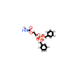 CNC(=O)OCCOP(=O)(OCc1ccccc1)OCc1ccccc1